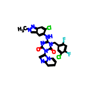 Cn1cc2cc(Nc3nc(=O)n(-c4cnc5ccccn45)c(=O)n3Cc3cc(Cl)c(F)cc3F)c(Cl)cc2n1